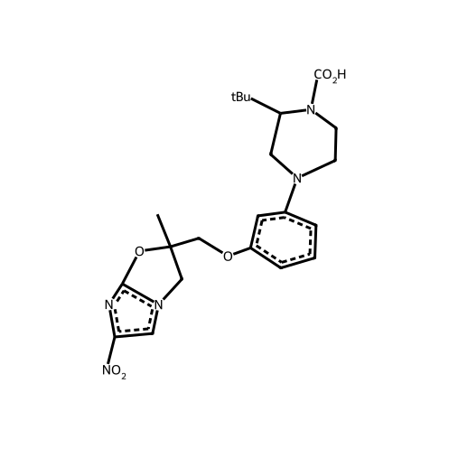 CC1(COc2cccc(N3CCN(C(=O)O)C(C(C)(C)C)C3)c2)Cn2cc([N+](=O)[O-])nc2O1